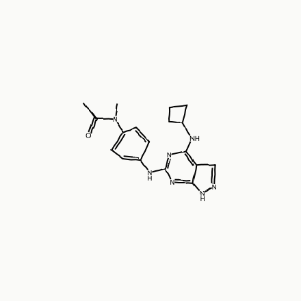 CC(=O)N(C)c1ccc(Nc2nc(NC3CCC3)c3cn[nH]c3n2)cc1